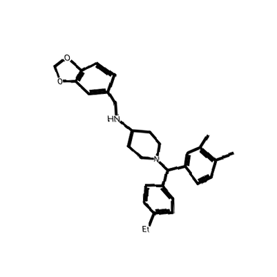 CCc1ccc(C(c2ccc(C)c(C)c2)N2CCC(NCc3ccc4c(c3)OCO4)CC2)cc1